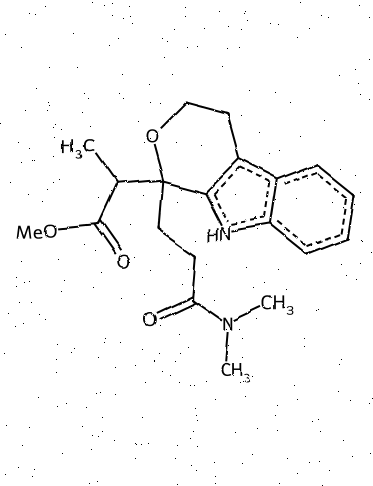 COC(=O)C(C)C1(CCC(=O)N(C)C)OCCc2c1[nH]c1ccccc21